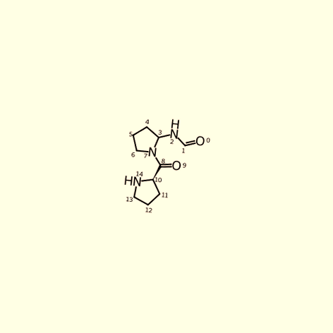 O=CNC1CCCN1C(=O)[C@H]1CCCN1